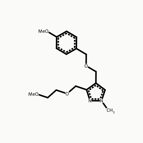 COCCOCc1nn(C)cc1COCc1ccc(OC)cc1